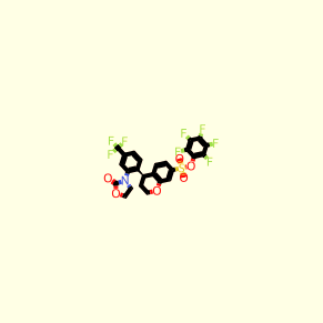 O=C1OCCN1c1cc(C(F)(F)F)ccc1[C@@H]1CCOc2cc(S(=O)(=O)Oc3c(F)c(F)c(F)c(F)c3F)ccc21